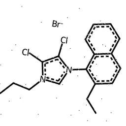 CCC[n+]1cn(-c2c(CC)ccc3ccccc23)c(Cl)c1Cl.[Br-]